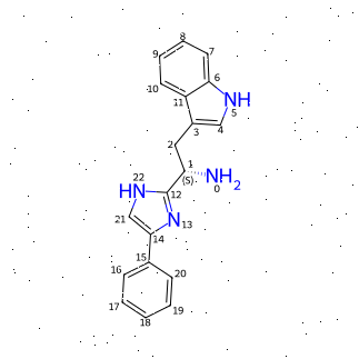 N[C@@H](Cc1c[nH]c2ccccc12)c1nc(-c2ccccc2)c[nH]1